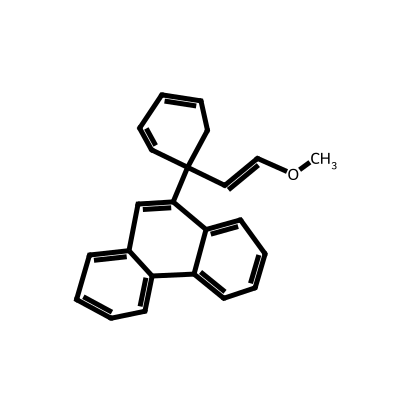 CO/C=C/C1(c2cc3ccccc3c3ccccc23)C=CC=CC1